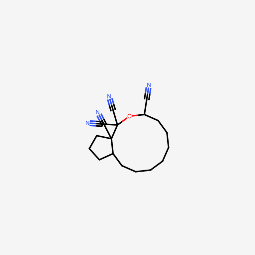 N#CC1CCCCCCCC2CCCC2(C#N)C(C#N)(C#N)O1